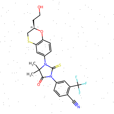 CC1(C)C(=O)N(c2ccc(C#N)c(C(F)(F)F)c2)C(=S)N1c1ccc2c(c1)SC[C@@H](CCO)O2